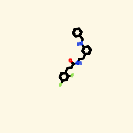 O=C(C=Cc1ccc(F)cc1F)NCCc1cccc(NCc2ccccc2)c1